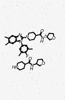 Cc1cc2nc(N3CCC(C(=O)N[C@@H]4CCOC4)CC3)n(-c3cc(C)c(F)c(C)c3)c2cc1C.O=C(NC1CCOC1)C1CCNCC1